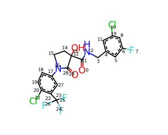 O=C(NCc1cc(F)cc(Cl)c1)C1(O)CCN(c2ccc(Cl)c(C(F)(F)F)c2)C1=O